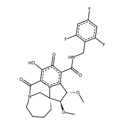 CO[C@@H]1[C@@H](OC)c2c(C(=O)NCc3c(F)cc(F)cc3F)c(=O)c(O)c3n2[C@@]12CCCCN(C2)C3=O